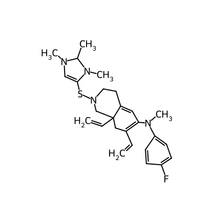 C=CC1=C(N(C)c2ccc(F)cc2)C=C2CCN(SC3=CN(C)C(C)N3C)CC2(C=C)C1